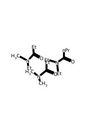 CCC(=O)N(C)C.CCC(=O)N(C)CC.CCCC(=O)N(CC)CC